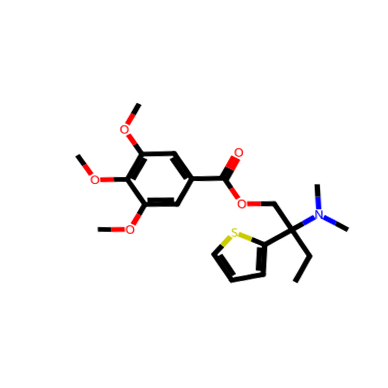 CCC(COC(=O)c1cc(OC)c(OC)c(OC)c1)(c1cccs1)N(C)C